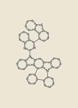 c1ccc2c(c1)-c1ccccc1-n1c3ccccc3c3cc4c(c-2c31)c1ccccc1n4-c1nc(-c2cccc3sc4ccccc4c23)c2ccccc2n1